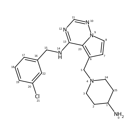 NC1CCN(Cc2ccn3ncnc(NCc4cccc(Cl)c4)c23)CC1